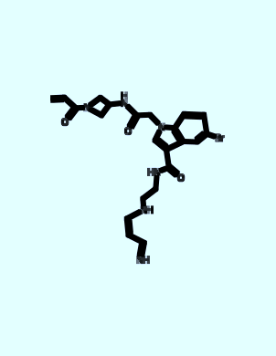 C=CC(=O)N1CC(NC(=O)Cn2cc(C(=O)NCCN/C=C\C=N)c3cc(Br)ccc32)C1